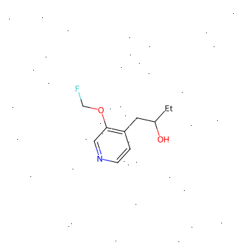 CCC(O)Cc1ccncc1OCF